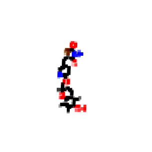 Cc1c(C)c2c(c(C)c1O)CCC(C)(COc1ccc(CC3SC(=O)NC3=O)cn1)O2